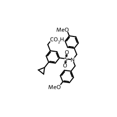 COc1ccc(CN(Cc2ccc(OC)cc2)S(=O)(=O)c2cc(CC(=O)O)cc(C3CC3)c2)cc1